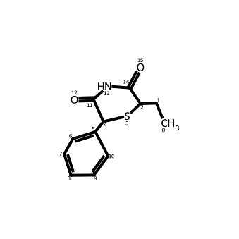 CCC1SC(c2ccccc2)C(=O)NC1=O